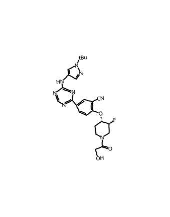 CC(C)(C)n1cc(Nc2ncnc(-c3ccc(O[C@H]4CCN(C(=O)CO)C[C@@H]4F)c(C#N)c3)n2)cn1